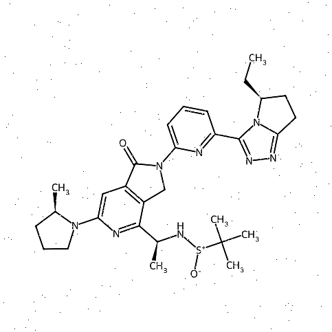 CC[C@H]1CCc2nnc(-c3cccc(N4Cc5c(cc(N6CCC[C@H]6C)nc5[C@H](C)N[S+]([O-])C(C)(C)C)C4=O)n3)n21